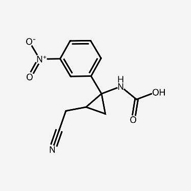 N#CCC1CC1(NC(=O)O)c1cccc([N+](=O)[O-])c1